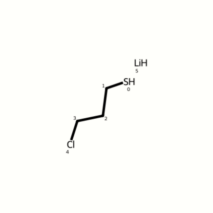 SCCCCl.[LiH]